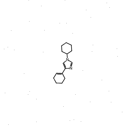 C1=C(c2cn(C3CCCCC3)cn2)CCCC1